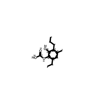 CCCc1c(C)cc(CC)c(OC(=O)O)c1O